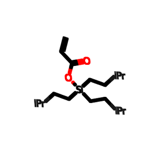 C=CC(=O)O[Si](CCC(C)C)(CCC(C)C)CCC(C)C